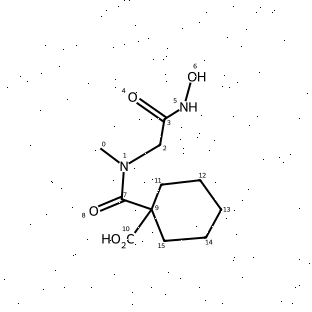 CN(CC(=O)NO)C(=O)C1(C(=O)O)CCCCC1